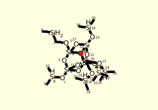 C[SiH2]CO[Si]12O[Si]3(O[SiH](C)C)O[Si](O[SiH](C)C)(O[SiH](C)C)O[Si](O[SiH](C)C)(O1)O[Si](O[SiH](C)C)(O2)O3